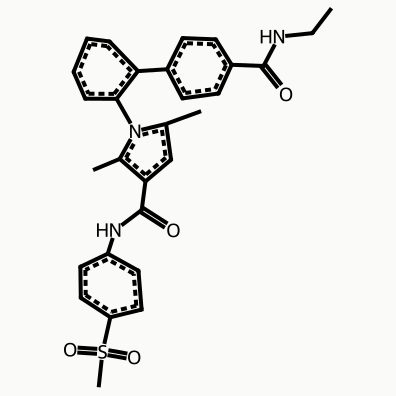 CCNC(=O)c1ccc(-c2ccccc2-n2c(C)cc(C(=O)Nc3ccc(S(C)(=O)=O)cc3)c2C)cc1